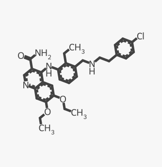 CCOc1cc2ncc(C(N)=O)c(Nc3cccc(CNCCc4ccc(Cl)cc4)c3CC)c2cc1OCC